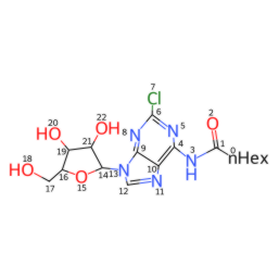 CCCCCCC(=O)Nc1nc(Cl)nc2c1ncn2C1OC(CO)C(O)C1O